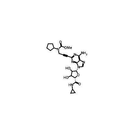 COC(=O)N(CC#Cc1nc(N)c2ncn([C@@H]3O[C@H](C(=O)NC4CC4)C(O)C3O)c2n1)C1CCCC1